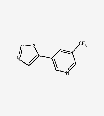 FC(F)(F)c1cncc(-c2cncs2)c1